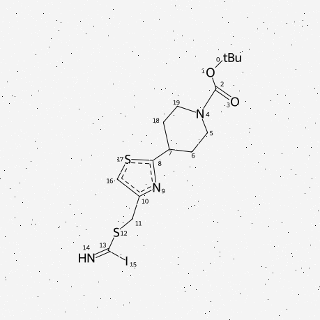 CC(C)(C)OC(=O)N1CCC(c2nc(CSC(=N)I)cs2)CC1